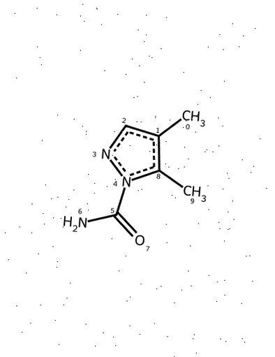 Cc1cnn(C(N)=O)c1C